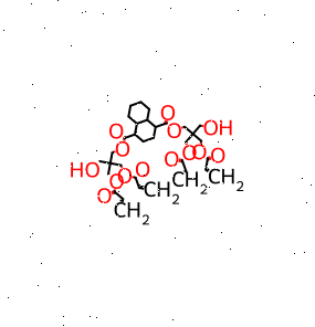 C=CC(=O)OCC(CO)(COC(=O)C=C)COC(=O)C1CCC(C(=O)OCC(CO)(COC(=O)C=C)COC(=O)C=C)C2CCCCC12